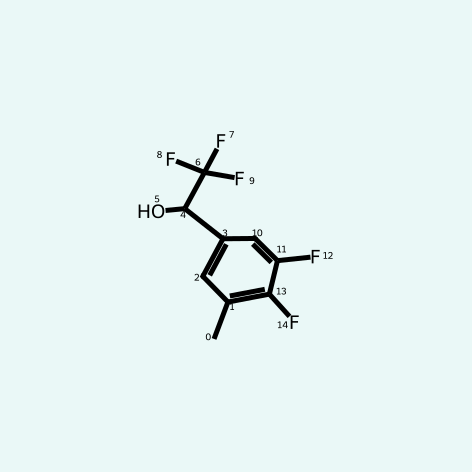 Cc1cc(C(O)C(F)(F)F)cc(F)c1F